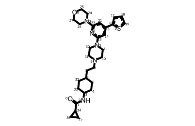 O=C(NC1CCC(CCN2CCN(c3cc(-c4cccs4)cc(N4CCOCC4)n3)CC2)CC1)C1CC1